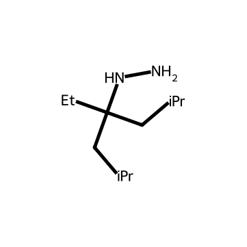 CCC(CC(C)C)(CC(C)C)NN